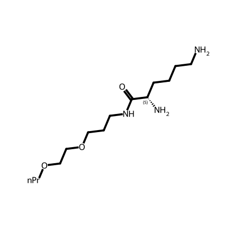 CCCOCCOCCCNC(=O)[C@@H](N)CCCCN